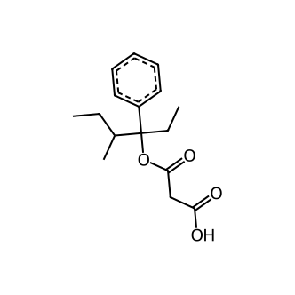 CCC(C)C(CC)(OC(=O)CC(=O)O)c1ccccc1